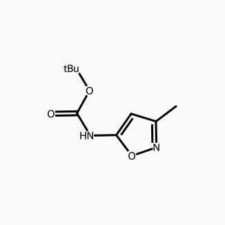 Cc1cc(NC(=O)OC(C)(C)C)on1